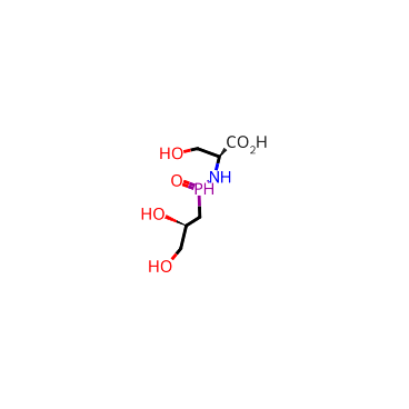 O=C(O)[C@H](CO)N[PH](=O)C[C@H](O)CO